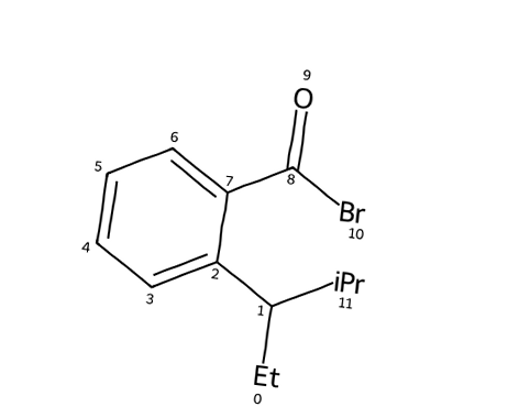 CCC(c1ccccc1C(=O)Br)C(C)C